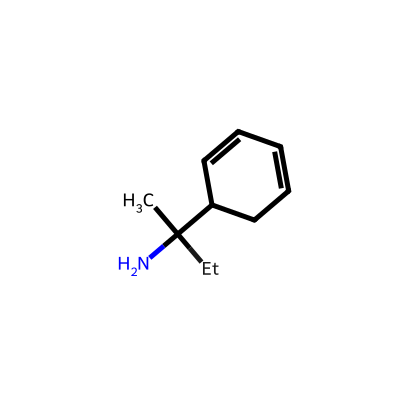 CCC(C)(N)C1C=CC=CC1